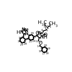 CCN(CC)CCS(=O)(=O)NC(COCc1ccccc1)C(=O)c1ccc(-c2ccccc2-c2nnn[nH]2)cc1